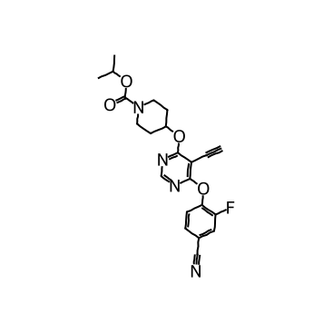 C#Cc1c(Oc2ccc(C#N)cc2F)ncnc1OC1CCN(C(=O)OC(C)C)CC1